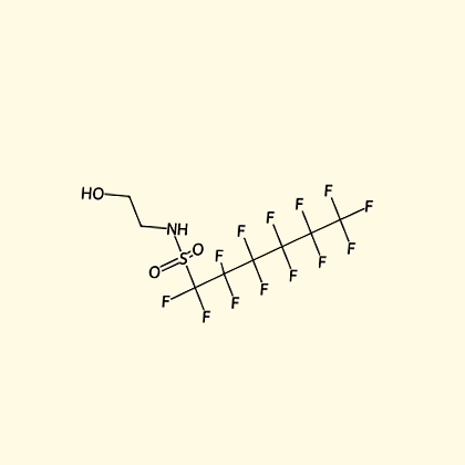 O=S(=O)(NCCO)C(F)(F)C(F)(F)C(F)(F)C(F)(F)C(F)(F)C(F)(F)F